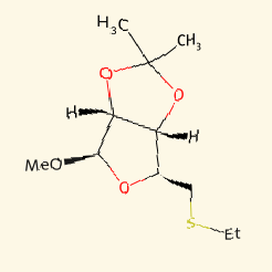 CCSC[C@H]1O[C@@H](OC)[C@@H]2OC(C)(C)O[C@@H]21